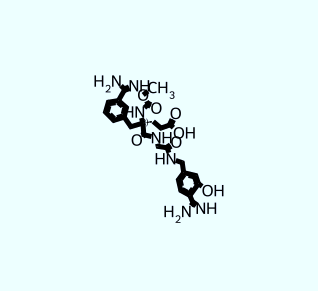 COC(=O)N[C@](CCC(=O)O)(Cc1cccc(C(=N)N)c1)C(=O)NCC(=O)NCc1ccc(C(=N)N)c(O)c1